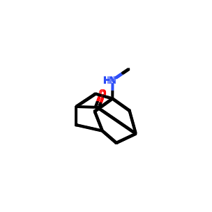 CNC12CC3CC(C1)C(=O)C(C3)C2